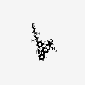 C[C@@H]1Cc2c([nH]c3ccccc23)[C@@H](c2c(F)cc(NCCNCCCF)cc2F)N1CC1(F)COC1